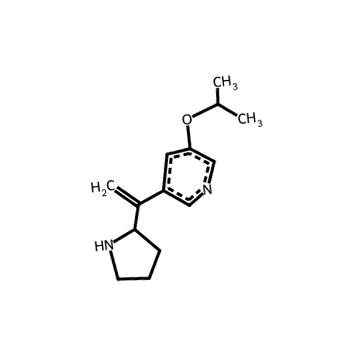 C=C(c1cncc(OC(C)C)c1)C1CCCN1